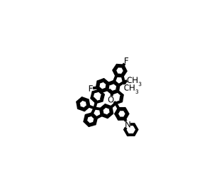 CC1(C)c2cc(F)ccc2-c2c1c1c(c3cc(F)ccc23)OC(c2ccc(N3CCCCC3)cc2)(c2ccc3c(c2)C(C2=CCCC=C2)(c2ccccc2)c2ccccc2-3)C=C1